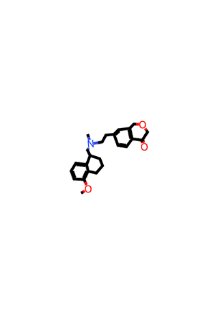 COc1cccc2c1CCCC2CN(C)CCc1ccc2c(c1)COCC2=O